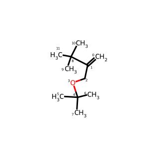 C=C(COC(C)(C)C)C(C)(C)C